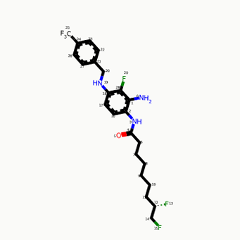 Nc1c(NC(=O)CCCCCC[C@H](F)CF)ccc(NCc2ccc(C(F)(F)F)cc2)c1F